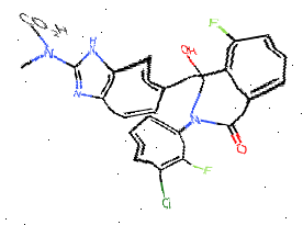 CN(C(=O)O)c1nc2ccc(C3(O)c4c(F)cccc4C(=O)N3c3cccc(Cl)c3F)cc2[nH]1